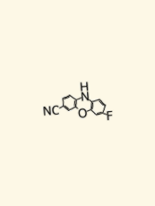 N#Cc1ccc2c(c1)Oc1cc(F)ccc1N2